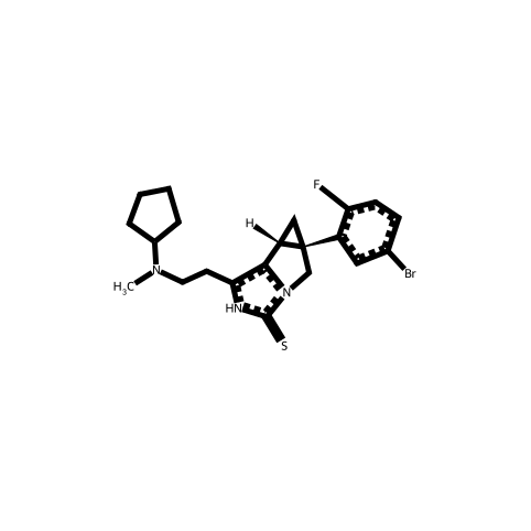 CN(CCc1[nH]c(=S)n2c1[C@@H]1C[C@]1(c1cc(Br)ccc1F)C2)C1CCCC1